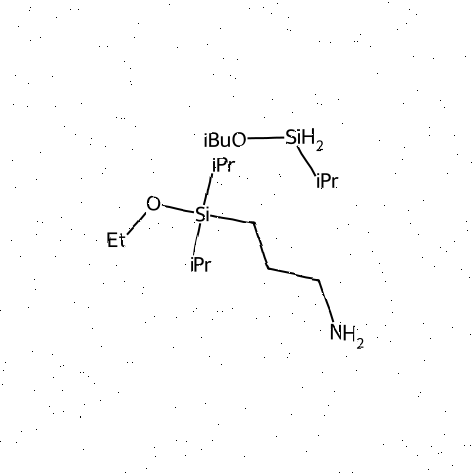 CC(C)CO[SiH2]C(C)C.CCO[Si](CCCN)(C(C)C)C(C)C